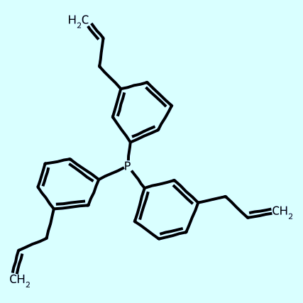 C=CCc1cccc(P(c2cccc(CC=C)c2)c2cccc(CC=C)c2)c1